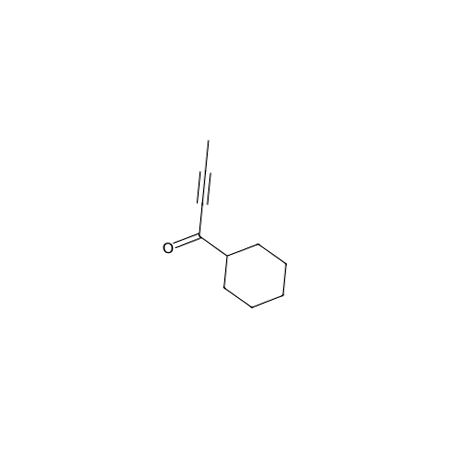 CC#CC(=O)C1CCCCC1